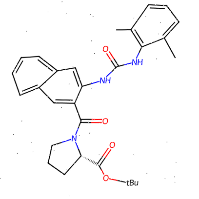 Cc1cccc(C)c1NC(=O)Nc1cc2ccccc2cc1C(=O)N1CCC[C@H]1C(=O)OC(C)(C)C